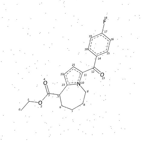 CCOC(=O)C1CCCCn2c(C(=O)c3ccc(F)cc3)ccc21